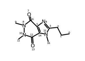 CCCc1nc2c(=O)n(C)n(C)c(=O)c2n1C